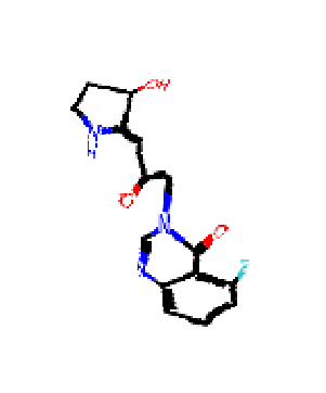 O=C(CC1NCCC1O)Cn1cnc2cccc(F)c2c1=O